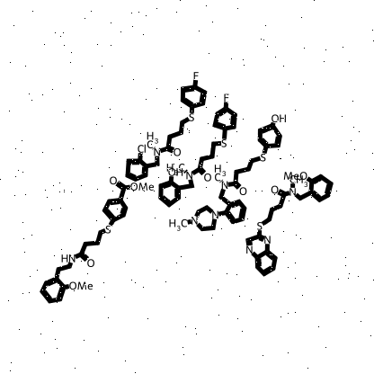 CN(Cc1ccccc1Cl)C(=O)CCCSc1ccc(F)cc1.CN(Cc1ccccc1O)C(=O)CCCSc1ccc(F)cc1.CN1CCN(c2ccccc2CN(C)C(=O)CCCSc2ccc(O)cc2)CC1.COC(=O)c1ccc(SCCCC(=O)NCCc2ccccc2OC)cc1.COc1ccccc1CN(C)C(=O)CCCSc1cnc2ccccc2n1